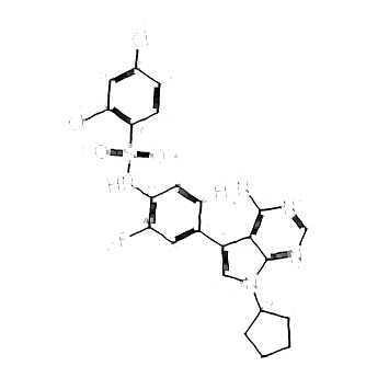 Nc1ncnc2c1c(-c1ccc(NS(=O)(=O)c3ccc(Cl)cc3Cl)c(F)c1)cn2C1CCCC1